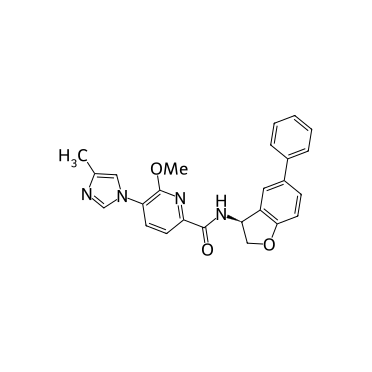 COc1nc(C(=O)N[C@@H]2COc3ccc(-c4ccccc4)cc32)ccc1-n1cnc(C)c1